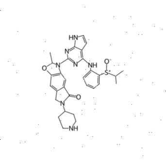 CC1Oc2cc3c(cc2N1c1nc(Nc2ccccc2[S+]([O-])C(C)C)c2cc[nH]c2n1)C(=O)N(C1CCNCC1)C3